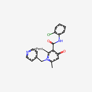 CCCCCc1c(C(=O)Nc2ccccc2Cl)c(=O)cc(C)n1Cc1ccncc1